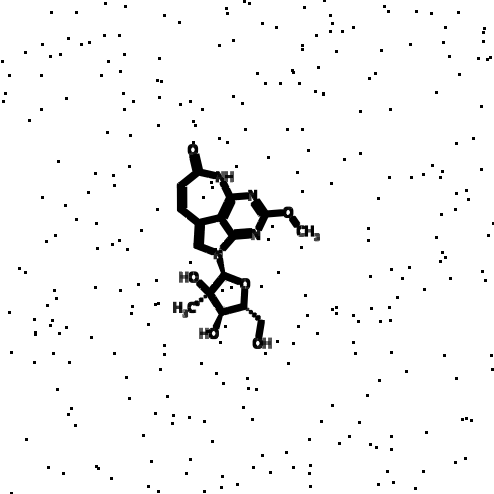 COc1nc2c3c(cn([C@H]4O[C@H](CO)[C@@H](O)[C@@]4(C)O)c3n1)C=CC(=O)N2